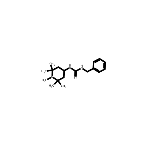 CN1C(C)(C)CC(NC(=O)NCc2ccccc2)CC1(C)C